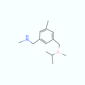 CNCc1cc(C)cc(CB(C)C(C)C)c1